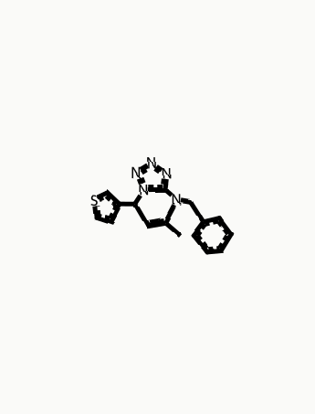 CC1=CC(c2ccsc2)n2nnnc2N1Cc1ccccc1